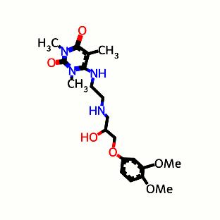 COc1ccc(OCC(O)CNCCNc2c(C)c(=O)n(C)c(=O)n2C)cc1OC